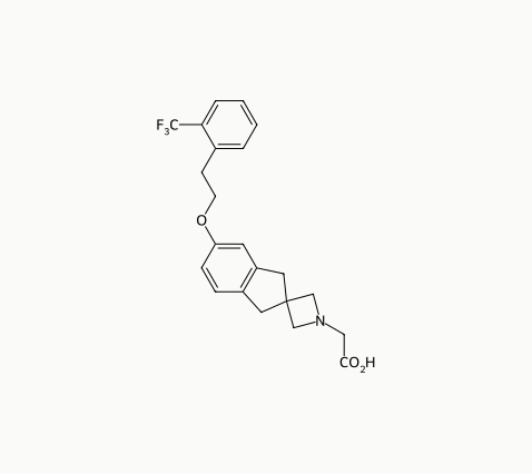 O=C(O)CN1CC2(Cc3ccc(OCCc4ccccc4C(F)(F)F)cc3C2)C1